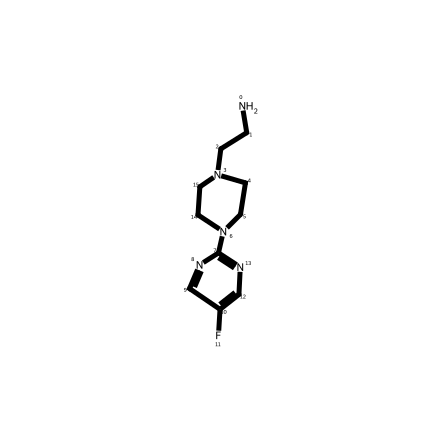 NCCN1CCN(c2ncc(F)cn2)CC1